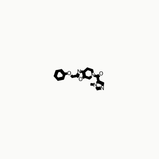 Cn1cncc1C(=O)N1CCc2nc(COc3ccccc3)oc2C1